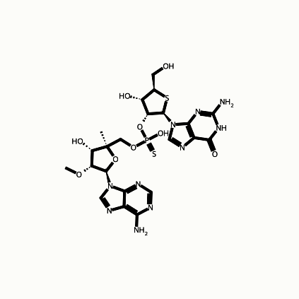 CO[C@H]1[C@H](n2cnc3c(N)ncnc32)O[C@](C)(COP(O)(=S)O[C@@H]2[C@H](O)[C@@H](CO)S[C@H]2n2cnc3c(=O)[nH]c(N)nc32)[C@H]1O